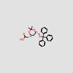 CC1(C)O[C@H](COC(c2ccccc2)(c2ccccc2)c2ccccc2)C[C@H](CC(=O)O)O1